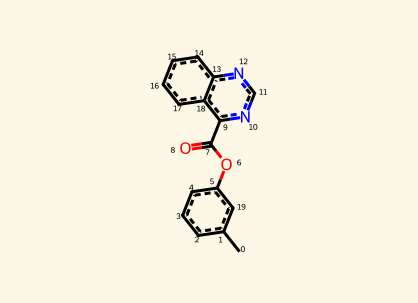 Cc1cccc(OC(=O)c2ncnc3ccccc23)c1